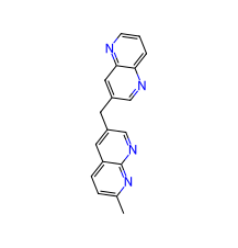 Cc1ccc2cc(Cc3cnc4cccnc4c3)cnc2n1